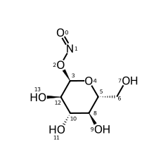 O=NO[C@H]1O[C@H](CO)[C@@H](O)[C@H](O)[C@H]1O